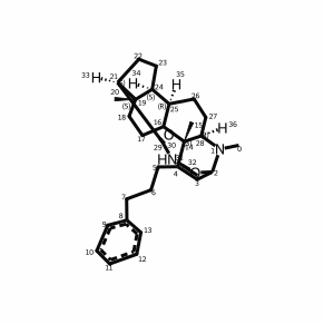 CN1C2C=C(CCCc3ccccc3)[C@]3(C)C4CC[C@]5(C)[C@H](CC[C@H]5[C@H]4CC[C@@H]13)C(=O)NO2